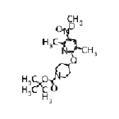 CO[N+](=O)c1cc(C)c(OC2CCN(C(=O)OC(C)(C)C)CC2)nc1C